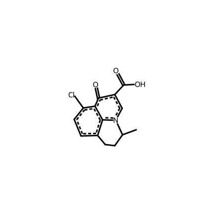 CC1CCc2ccc(Cl)c3c(=O)c(C(=O)O)cn1c23